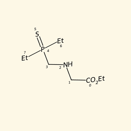 CCOC(=O)CNCP(=S)(CC)CC